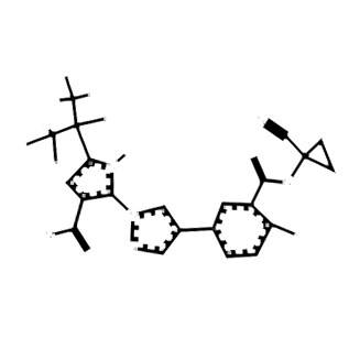 Cn1c(C(F)(C(F)(F)F)C(F)(F)F)cc(C(N)=S)c1-n1cc(-c2ccc(Cl)c(C(=O)NC3(C#N)CC3)c2)cn1